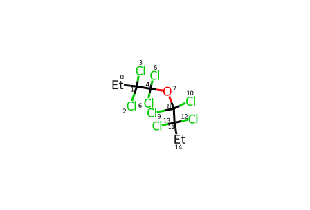 CCC(Cl)(Cl)C(Cl)(Cl)OC(Cl)(Cl)C(Cl)(Cl)CC